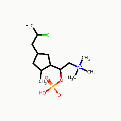 CC(Cl)CC1CC(C)C(C(C[N+](C)(C)C)OP(=O)([O-])O)C1